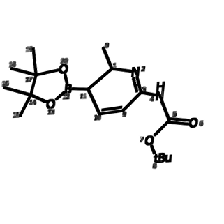 CC1N=C(NC(=O)OC(C)(C)C)C=CC1B1OC(C)(C)C(C)(C)O1